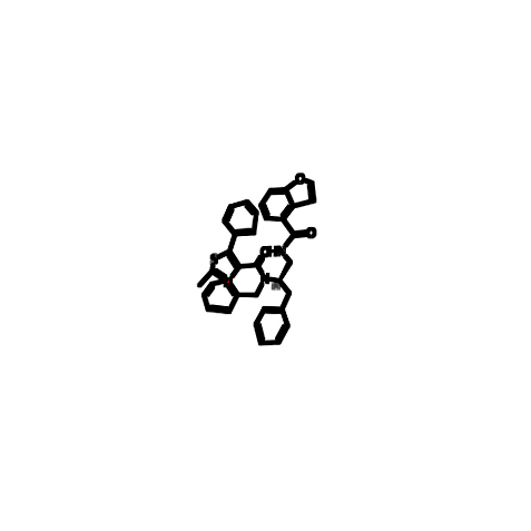 Cc1nc(C(=O)N(Cc2ccccc2)[C@@H](CNC(=O)c2cccc3occc23)Cc2ccccc2)c(-c2ccccc2)s1